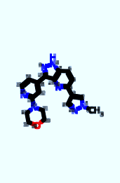 Cn1cc(-c2ccc3[nH]nc(-c4ccnc(N5CCOCC5)c4)c3n2)cn1